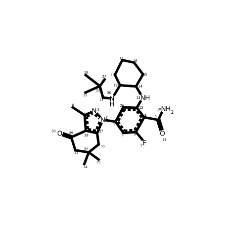 Cc1nn(-c2cc(F)c(C(N)=O)c(NC3CCCCC3NCC(C)(C)C)c2)c2c1C(=O)CC(C)(C)C2